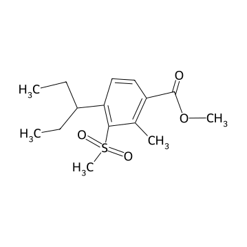 CCC(CC)c1ccc(C(=O)OC)c(C)c1S(C)(=O)=O